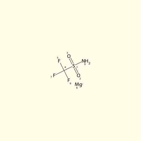 NS(=O)(=O)C(F)(F)F.[Mg]